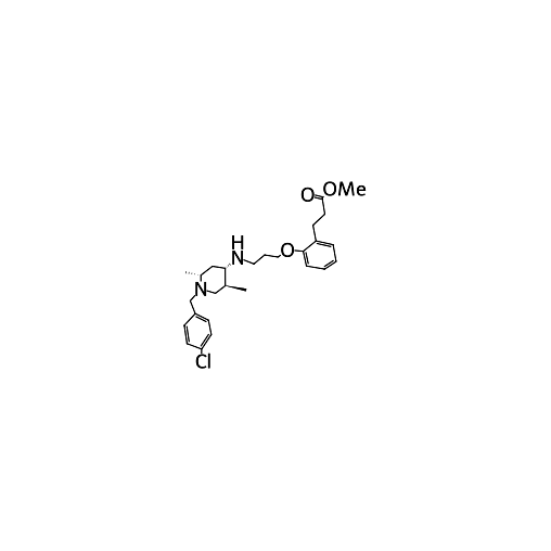 COC(=O)CCc1ccccc1OCCCN[C@H]1C[C@@H](C)N(Cc2ccc(Cl)cc2)C[C@@H]1C